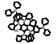 N#Cc1c(-n2c3ccccc3c3ccccc32)c(-n2c3ccccc3c3cc(N(c4ccccc4)c4ccccc4)ccc32)c(-c2ccccc2)c(-n2c3ccccc3c3cc(N(c4ccccc4)c4ccccc4)ccc32)c1-n1c2ccccc2c2ccccc21